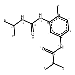 Cc1ccc(NC(=O)C(C)C)cc1NC(=O)NC(C)C